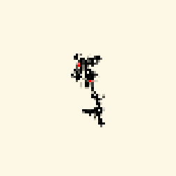 C=CCOc1ccc(C=CC(=O)OCCCNC(=O)O[C@H]2[C@@H]([C@@H](NC(C)=O)C(CC)CC)[C@H](NC(=NC(=O)OC(C)(C)C)NC(=O)OC(C)(C)C)C[C@]2(C)C(=O)O)cc1OCC=C